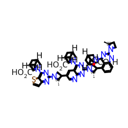 C[C@H]1CCN1c1nc(N2C[C@H]3C[C@@H](C2)[C@@H]3CC(=O)O)c2c(C3CN(c4nc(N5C[C@H]6C[C@@H](C5)[C@@H]6CC(=O)O)c5cc(C6CN(c7nc(N8C[C@H]9C[C@@H](C8)[C@@H]9CC(=O)O)c8sccc8n7)[C@H]6C)cnc5n4)[C@H]3C)cccc2n1